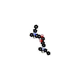 Cc1ccccc1N(c1ccc(-c2ccccc2)cc1)c1ccc2cc3c(cc2c1)oc1c3ccc2oc3cc4cc(N(c5ccc(-c6ccccc6)cc5)c5ccccc5C)ccc4cc3c21